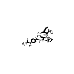 CC[C@@H]1OCC(=O)[C@H]1NC(=O)[C@H](CC1(C)CCCC1)NC(=O)c1ccc(NC(N)=S)cc1